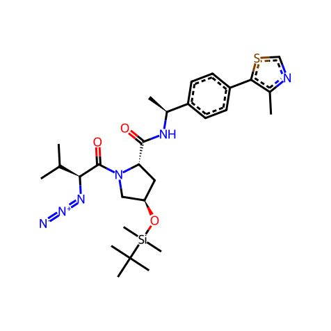 Cc1ncsc1-c1ccc([C@H](C)NC(=O)[C@@H]2C[C@@H](O[Si](C)(C)C(C)(C)C)CN2C(=O)[C@@H](N=[N+]=[N-])C(C)C)cc1